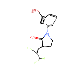 O=C1C(C(F)C(F)F)CCN1c1cccc(Br)c1